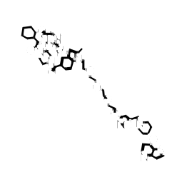 Cc1cc2cc(C(=O)N3CCN(C(=O)[C@@H](NC(=O)[C@H](C)N(C)C(=O)OC(C)(C)C)C4CCCCC4)CC3)ccc2n1CCOCCOCCOCCOc1cc(CN2CCC(Oc3ccnc4ccsc34)CC2)on1